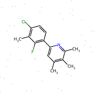 Cc1cc(-c2ccc(Cl)c(C)c2F)nc(C)c1C